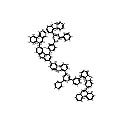 c1ccc(-c2nc(-c3cccc(-c4cccc5sc6ccc(-c7cc8ccccc8c8ccccc78)cc6c45)c3)nc(-c3cccc4c3sc3ccc(-c5cc(-c6ccc(-c7nc(-c8ccccc8)nc(-c8cccc9sc%10ccccc%10c89)n7)cc6)c6c(c5)sc5ccc(-c7cc8ccccc8c8ccccc78)cc56)cc34)n2)cc1